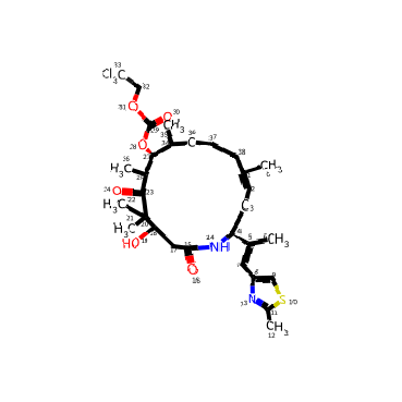 C/C1=C/C[C@@H](/C(C)=C/c2csc(C)n2)NC(=O)CC(O)C(C)(C)C(=O)C(C)[C@@H](OC(=O)OCC(Cl)(Cl)Cl)C(C)CCC1